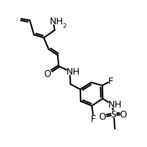 C=C/C=C(/C=C/C(=O)NCc1cc(F)c(NS(C)(=O)=O)c(F)c1)CN